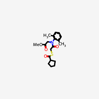 COC(=O)CN(C(=O)CSC(=O)C1CCCC1)c1c(C)cccc1C